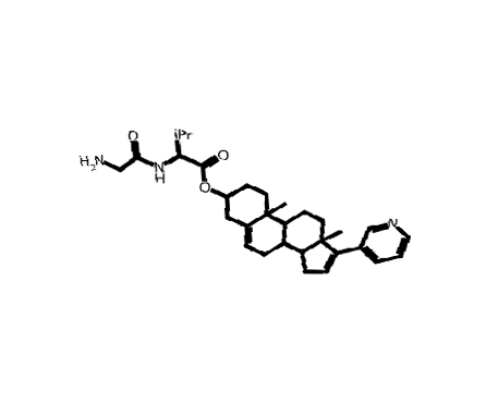 CC(C)C(NC(=O)CN)C(=O)OC1CCC2(C)C(=CCC3C2CCC2(C)C(c4cccnc4)=CCC32)C1